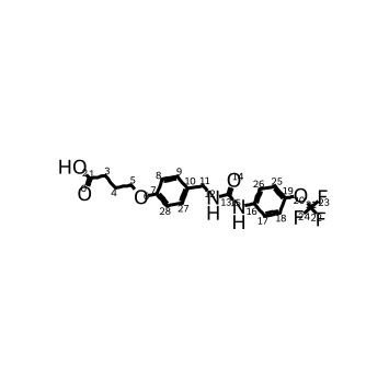 O=C(O)CCCOc1ccc(CNC(=O)Nc2ccc(OC(F)(F)F)cc2)cc1